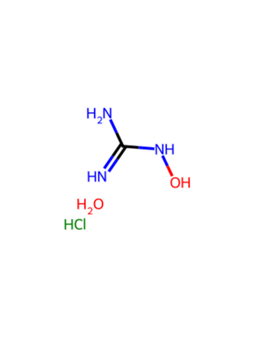 Cl.N=C(N)NO.O